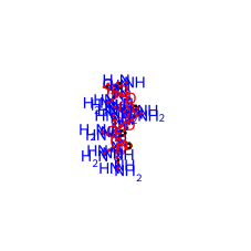 CC(=O)CN(C(=O)CN(CCCNC(=N)N)C(=O)CN(CCCNC(=N)N)C(=O)CN(C(=O)CN(CCCNC(=N)N)C(=O)CN(CCCNC(=N)N)C(=O)CN(C(=O)CN(CCCNC(=N)N)C(=O)CN(CCCNC(=N)N)C(=O)CN(C(=O)CN(CCCNC(=N)N)C(=O)CNCCCNC(=N)N)[C@H](C)c1ccccc1)[C@@H](C)c1ccccc1)[C@H](C)c1ccccc1)[C@@H](C)c1ccccc1